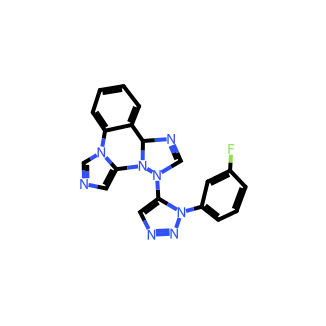 Fc1cccc(-n2nncc2N2C=NC3c4ccccc4-n4cncc4N32)c1